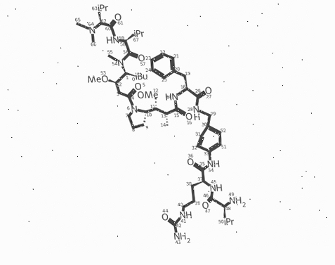 CC[C@H](C)[C@@H]([C@@H](CC(=O)N1CCC[C@H]1[C@H](OC)[C@@H](C)C(=O)N[C@@H](Cc1ccccc1)C(=O)NCc1ccc(NC(=O)[C@H](CCCNC(N)=O)NC(=O)[C@@H](N)C(C)C)cc1)OC)N(C)C(=O)[C@@H](NC(=O)[C@H](C(C)C)N(C)C)C(C)C